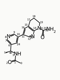 CC(=O)N[C@@H](C)c1cncc(-c2cnc3c(c2)CCCN3C(N)=O)c1